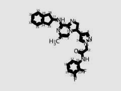 CC1=CN2C(=NCC2c2cnn(CC(=O)Nc3cccc(F)c3F)c2)C(NC2Cc3ccccc3C2)=N1